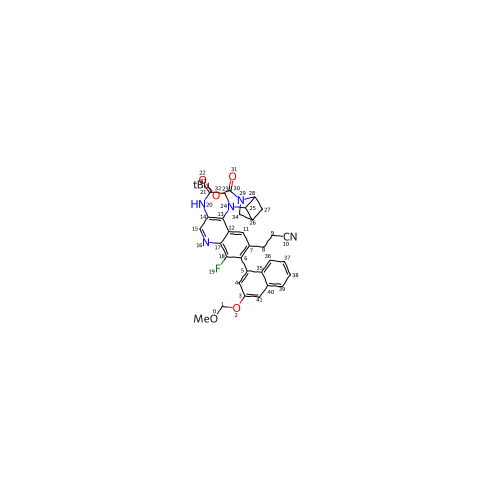 COCOc1cc(-c2c(CCC#N)cc3c4c(cnc3c2F)NC(=O)CN4C2C3CC2N(C(=O)OC(C)(C)C)C3)c2ccccc2c1